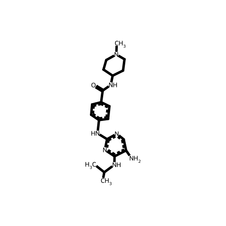 CC(C)Nc1nc(Nc2ccc(C(=O)NC3CCN(C)CC3)cc2)ncc1N